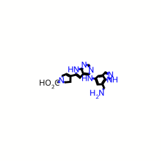 NCc1cc(Nc2ncnc3[nH]c(C4=CCN(C(=O)O)CC4)cc23)cc2cn[nH]c12